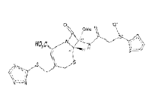 CO[C@@]1(NC(=O)C[S+]([O-])c2cccs2)C(=O)N2C(C(=O)O)=C(CSc3nncs3)CS[C@H]21